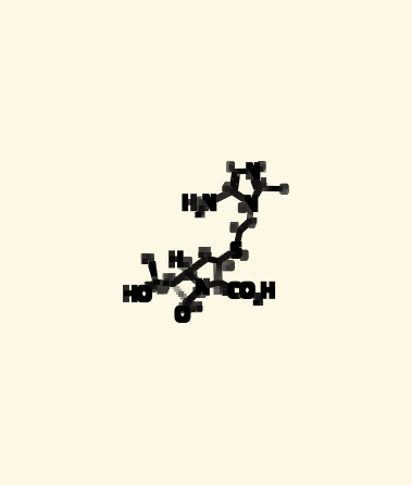 Cc1ncc(N)n1CCSC1=C(C(=O)O)N2C(=O)[C@H]([C@H](C)O)[C@H]2C1